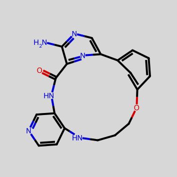 Nc1ncc2nc1C(=O)Nc1cnccc1NCCCOc1cccc-2c1